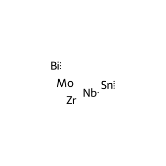 [Bi].[Mo].[Nb].[Sn].[Zr]